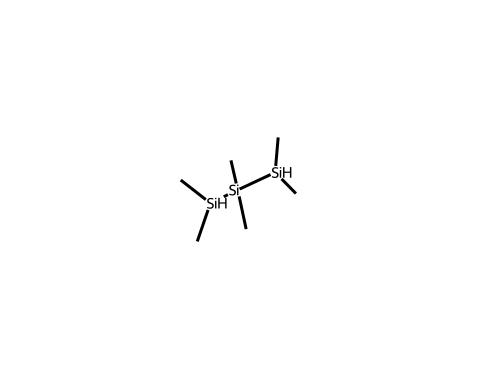 C[SiH](C)[Si](C)(C)[SiH](C)C